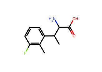 Cc1c(F)cccc1C(C)C(N)C(=O)O